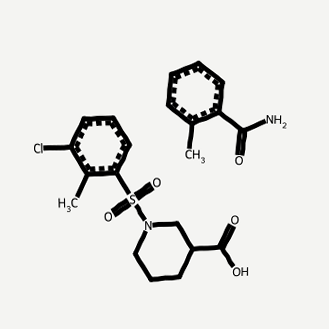 Cc1c(Cl)cccc1S(=O)(=O)N1CCCC(C(=O)O)C1.Cc1ccccc1C(N)=O